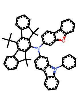 CC(C)(C)c1c2c(c(N(c3ccc4c(c3)oc3ccccc34)c3ccc4c5ccccc5n(-c5ccccc5)c4c3)c3c1-c1ccccc1C3(C)C)C(C)(C)c1ccccc1-2